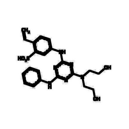 C=Cc1ccc(Nc2nc(Nc3ccccc3)nc(N(CCO)CCO)n2)cc1S(=O)(=O)O